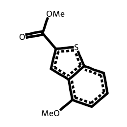 COC(=O)c1cc2c(OC)cccc2s1